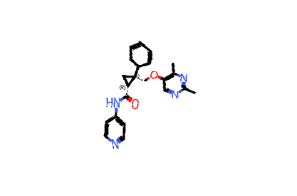 Cc1ncc(OC[C@@]2(C3C=CC=CC3)C[C@H]2C(=O)Nc2ccncc2)c(C)n1